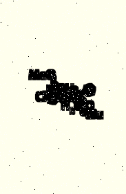 COCCCC[C@@](O)(c1cccc(Cl)c1F)[C@@H]1CCCN(C(=O)OC(CC2CCCCC2)CN(C)C(=O)OC(C)(C)C)C1